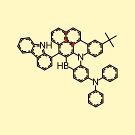 CC(C)(C)c1ccc(N2c3cc(N(c4ccccc4)c4ccccc4)ccc3Bc3c2cc2ccccc2c3-c2cccc3c2[nH]c2ccccc23)c(-c2ccccc2)c1